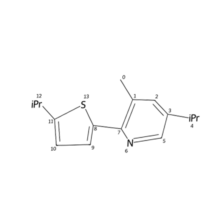 Cc1cc(C(C)C)cnc1-c1ccc(C(C)C)s1